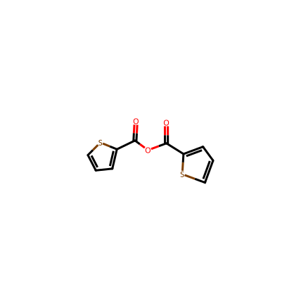 O=C(OC(=O)c1cccs1)c1cccs1